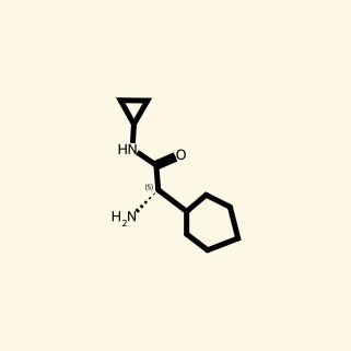 N[C@H](C(=O)NC1CC1)C1CCCCC1